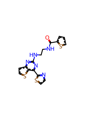 O=C(NCCNc1nc(-c2nccs2)c2sccc2n1)c1cccs1